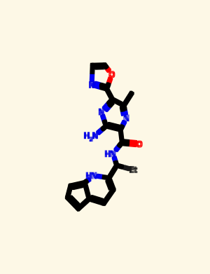 CCC(NC(=O)c1nc(C)c(-c2ncco2)nc1N)c1ccc2cccc-2[nH]1